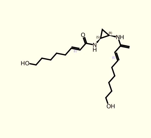 C=C(/C=C/CCCCCO)N[C@@H]1C[C@@H]1NC(=O)/C=C/CCCCCO